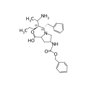 CCC[C@@H](C(C)N)[C@H](Cc1ccccc1)N1CC(NC(=O)OCc2ccccc2)CC1C(=O)O